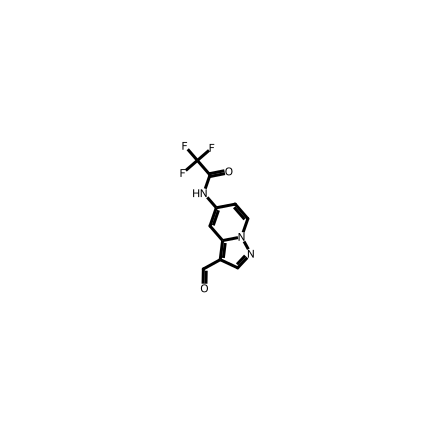 O=Cc1cnn2ccc(NC(=O)C(F)(F)F)cc12